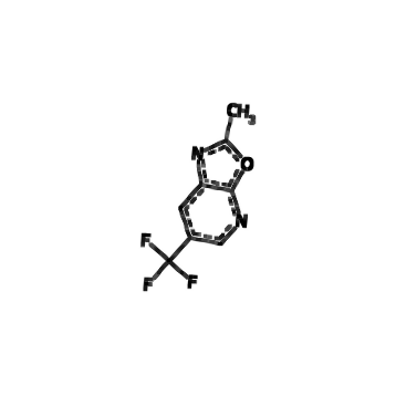 Cc1nc2cc(C(F)(F)F)cnc2o1